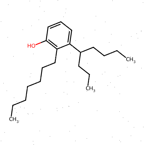 CCCCCCCc1c(O)cccc1C(CCC)CCCC